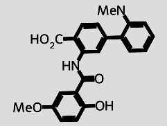 CNc1ccccc1-c1ccc(C(=O)O)c(NC(=O)c2cc(OC)ccc2O)c1